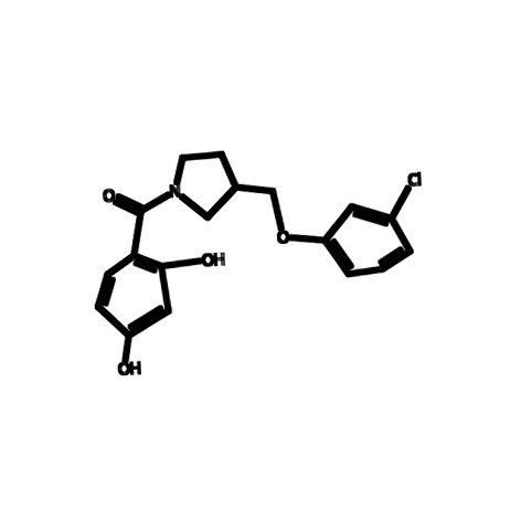 O=C(c1ccc(O)cc1O)N1CCC(COc2cccc(Cl)c2)C1